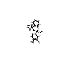 CNC1(NC)CC(NC)(c2ccc(O)c(Br)c2)Oc2ccccc21